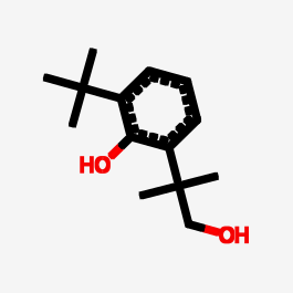 CC(C)(C)c1cccc(C(C)(C)CO)c1O